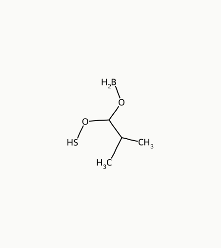 BOC(OS)C(C)C